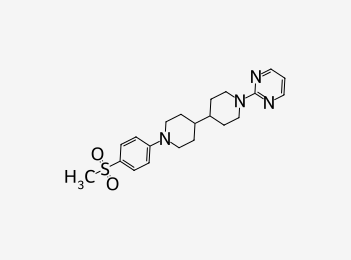 CS(=O)(=O)c1ccc(N2CCC(C3CCN(c4ncccn4)CC3)CC2)cc1